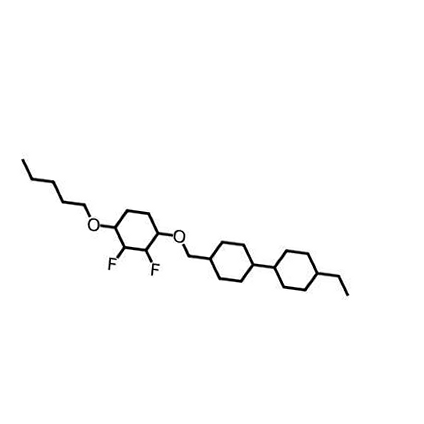 CCCCCOC1CCC(OCC2CCC(C3CCC(CC)CC3)CC2)C(F)C1F